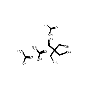 CCC(CO)(CO)CO.NC(=O)O.NC(=O)O.NC(=O)O